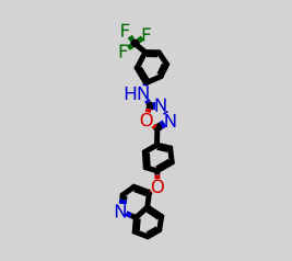 FC(F)(F)c1cccc(Nc2nnc(-c3ccc(Oc4ccnc5ccccc45)cc3)o2)c1